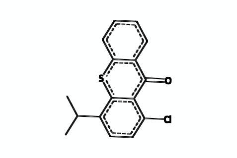 CC(C)c1ccc(Cl)c2c(=O)c3ccccc3sc12